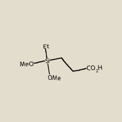 CC[Si](CCC(=O)O)(OC)OC